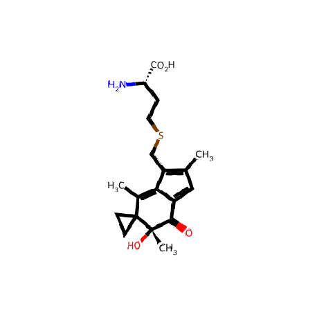 CC1=C(CSCC[C@H](N)C(=O)O)C2=C(C)C3(CC3)[C@@](C)(O)C(=O)C2=C1